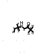 CCC(C)(C)NCC(=O)C(C)(C)C